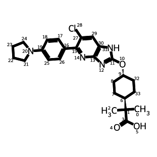 CC(C)(C(=O)O)[C@H]1CC[C@H](Oc2nc3nc(-c4ccc(N5CCCC5)cc4)c(Cl)cc3[nH]2)CC1